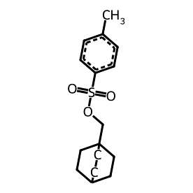 Cc1ccc(S(=O)(=O)OCC23CCC(CC2)CC3)cc1